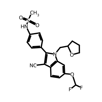 CS(=O)(=O)Nc1ccc(-c2c(C#N)c3ccc(OC(F)F)cc3n2CC2CCCO2)cc1